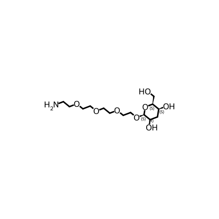 NCCOCCOCCOCCO[C@H]1O[C@@H](CO)[C@@H](O)C[C@H]1O